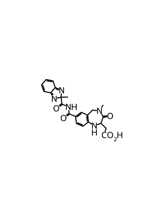 CN1Cc2cc(C(=O)NC(=O)C3(C)N=c4ccccc4=N3)ccc2NC(CC(=O)O)C1=O